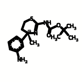 CC(C)(C)OC(=O)NC1=N[C@](C)(c2cccc(N)c2)CCS1